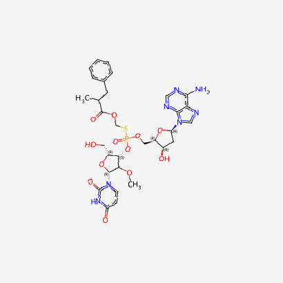 COC1[C@@H](OP(=O)(OC[C@H]2O[C@@H](n3cnc4c(N)ncnc43)C[C@H]2O)SCOC(=O)C(C)Cc2ccccc2)[C@@H](CO)O[C@H]1n1ccc(=O)[nH]c1=O